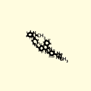 Cc1nc2ccccc2n1C1CCN(Cc2ccc(-c3nc4ccc(-c5nnn(C)n5)cc4nc3-c3ccccc3)cc2)CC1